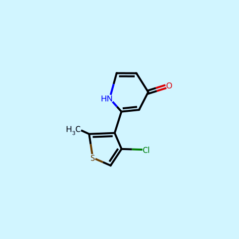 Cc1scc(Cl)c1-c1cc(=O)cc[nH]1